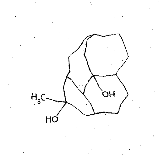 CC1(O)CC2CC3CCC4CC1C(C2)C3(O)C4